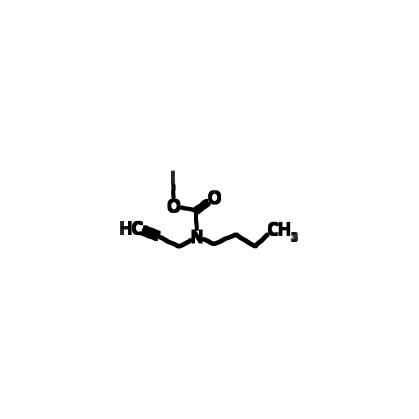 C#CCN(CCCC)C(=O)OI